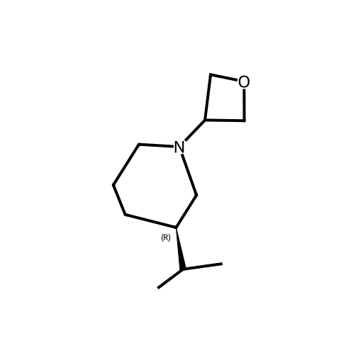 CC(C)[C@H]1CCCN(C2COC2)C1